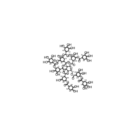 O=C(OC[C@@H]1O[C@@H](OC(=O)c2cc(O)c(O)c(OC(=O)c3cc(O)c(O)c(O)c3)c2)[C@@H](OC(=O)c2cc(O)c(O)c(OC(=O)c3cc(O)c(O)c(O)c3)c2)[C@H](OC(=O)c2cc(O)c(O)c(OC(=O)c3cc(O)c(O)c(O)c3)c2)[C@H]1OC(=O)c1cc(O)cc(OC(=O)c2ccc(O)c(O)c2)c1)c1cc(O)c(O)c(OC(=O)c2cc(O)c(O)c(O)c2)c1